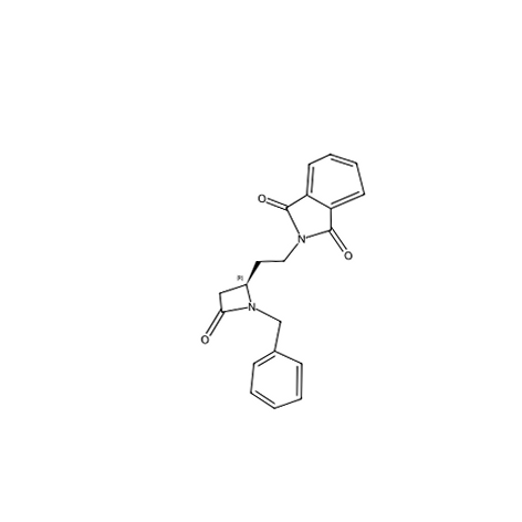 O=C1c2ccccc2C(=O)N1CC[C@@H]1CC(=O)N1Cc1ccccc1